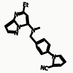 CCc1cc(N(C)Cc2ccc(-n3cccc3C#N)cc2)n2nccc2n1